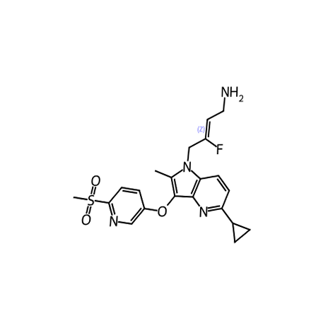 Cc1c(Oc2ccc(S(C)(=O)=O)nc2)c2nc(C3CC3)ccc2n1C/C(F)=C/CN